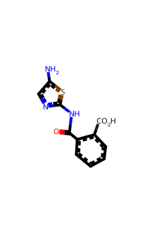 Nc1cnc(NC(=O)c2ccccc2C(=O)O)s1